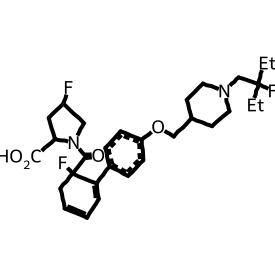 CCC(F)(CC)CN1CCC(COc2ccc(C3=CC=CCC3(F)C(=O)N3CC(F)CC3C(=O)O)cc2)CC1